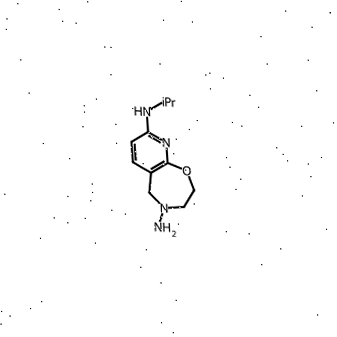 CC(C)Nc1ccc2c(n1)OCCN(N)C2